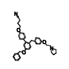 N#CCCCOc1ccc(-c2cc(OCc3ccccc3)ccc2Cc2ccc(OCCN3CCCC3)cc2)cc1